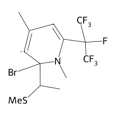 CSC(C)C1(Br)[C]=C(C)C=C(C(F)(C(F)(F)F)C(F)(F)F)N1C